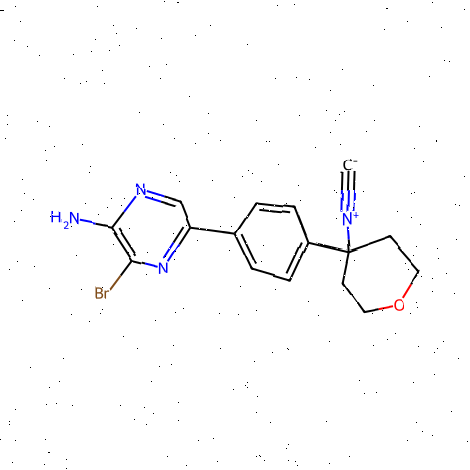 [C-]#[N+]C1(c2ccc(-c3cnc(N)c(Br)n3)cc2)CCOCC1